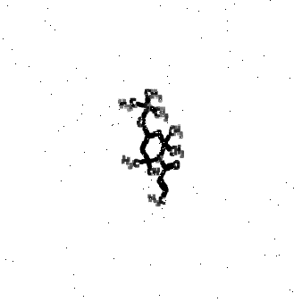 C/C=C/C(=O)N1C(C)(C)CC(O[Si](C)(C)C)CC1(C)C